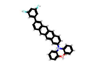 Fc1cc(F)cc(-c2ccc3c(c2)Cc2cc4ccc(N5c6ccccc6Oc6ccccc65)cc4cc2C3)c1